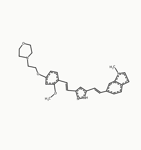 COc1cc(OCCN2CCOCC2)ccc1C=Cc1cc(C=Cc2ccc3ccn(C)c3c2)[nH]n1